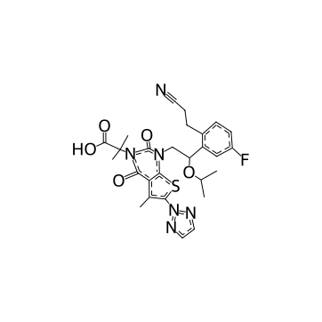 Cc1c(-n2nccn2)sc2c1c(=O)n(C(C)(C)C(=O)O)c(=O)n2CC(OC(C)C)c1cc(F)ccc1CCC#N